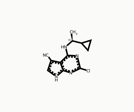 C[C@H](Nc1nc(Cl)nc2[nH]cc(C#N)c12)C1CC1